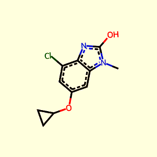 Cn1c(O)nc2c(Cl)cc(OC3CC3)cc21